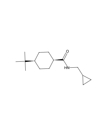 CC(C)(C)[C@H]1CC[C@@H](C(=O)NCC2CC2)CC1